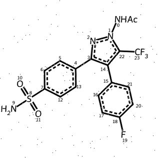 CC(=O)Nn1nc(-c2ccc(S(N)(=O)=O)cc2)c(-c2ccc(F)cc2)c1C(F)(F)F